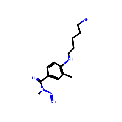 Cc1cc(C(=N)N(C)N=N)ccc1NCCCCCN